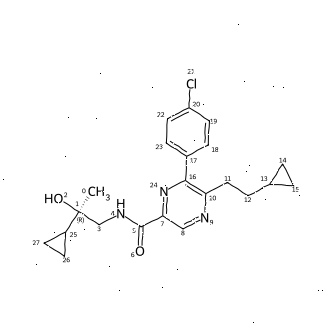 C[C@](O)(CNC(=O)c1cnc(CCC2CC2)c(-c2ccc(Cl)cc2)n1)C1CC1